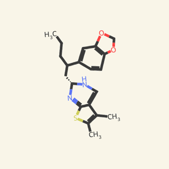 CCCC(C[C@H]1N=c2sc(C)c(C)c2=CN1)c1ccc2c(c1)OCO2